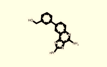 CCCc1nc2c(N)nc3ccc(-c4cccc(CO)c4)cc3c2s1